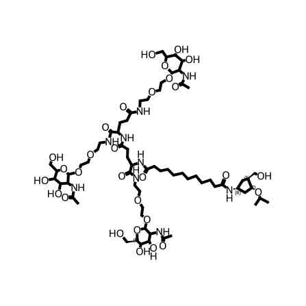 CC(=O)NC1C(OCCOCCNC(=O)CCC(NC(=O)CCC(NC(=O)CCCCCCCCCCC(=O)N[C@@H]2C[C@@H](CO)[C@H](OC(C)C)C2)C(=O)NCCOCCOC2O[C@H](CO)C(O)C(O)C2NC(C)=O)C(=O)NCCOCCOC2OC(CO)C(O)C(O)C2NC(C)=O)OC(CO)C(O)C1O